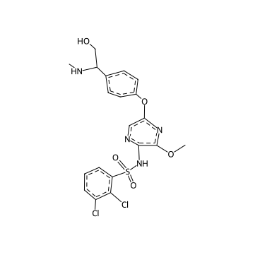 CNC(CO)c1ccc(Oc2cnc(NS(=O)(=O)c3cccc(Cl)c3Cl)c(OC)n2)cc1